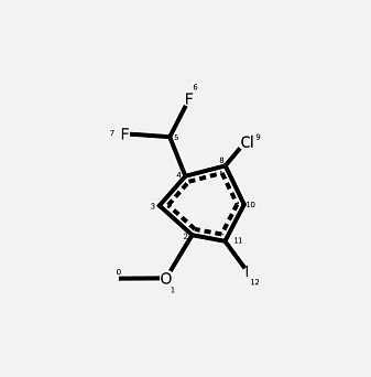 COc1cc(C(F)F)c(Cl)cc1I